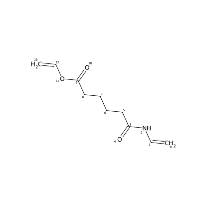 C=CNC(=O)CCCCC(=O)OC=C